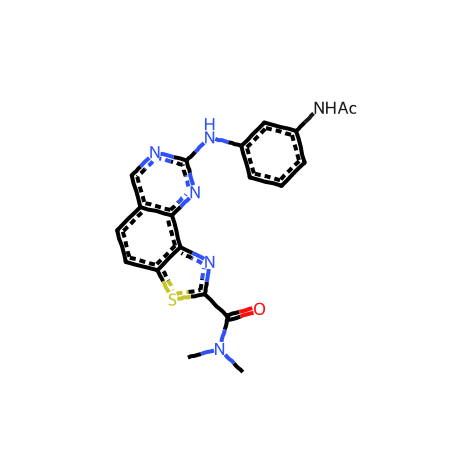 CC(=O)Nc1cccc(Nc2ncc3ccc4sc(C(=O)N(C)C)nc4c3n2)c1